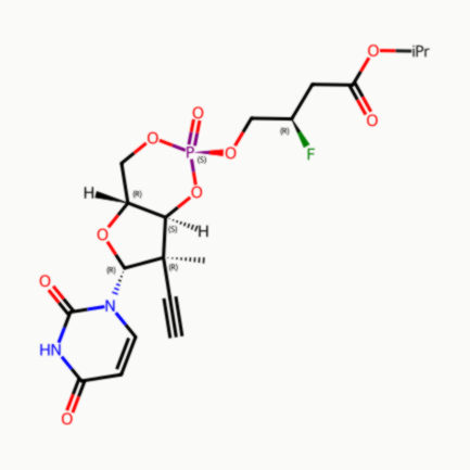 C#C[C@]1(C)[C@@H]2O[P@](=O)(OC[C@H](F)CC(=O)OC(C)C)OC[C@H]2O[C@H]1n1ccc(=O)[nH]c1=O